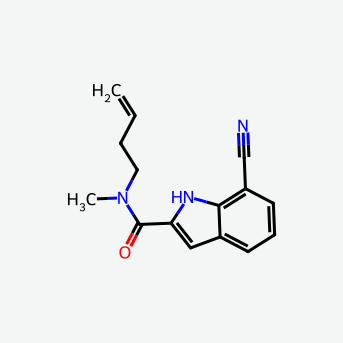 C=CCCN(C)C(=O)c1cc2cccc(C#N)c2[nH]1